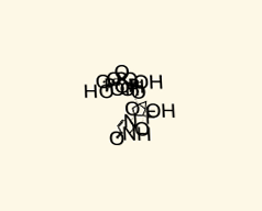 C[C@]1(F)[C@H](n2ccc(=O)[nH]c2=O)O[C@@]2(COP(=O)(O)OP(=O)(O)OP(=O)(O)O)C[C@@]21O